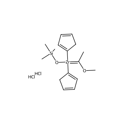 CO[C](C)=[Zr]([O][Si](C)(C)C)([C]1=CC=CC1)[C]1=CC=CC1.Cl.Cl